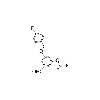 O=Cc1cc(OCc2ccc(F)cc2)cc(OC(F)F)c1